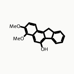 COc1ccc2c3c(c(O)cc2c1OC)-c1ccccc1C3